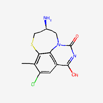 Cc1c(Cl)cc2c(O)nc(=O)n3c2c1SC[C@@H](N)C3